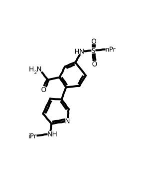 CCCS(=O)(=O)Nc1ccc(-c2ccc(NC(C)C)nc2)c(C(N)=O)c1